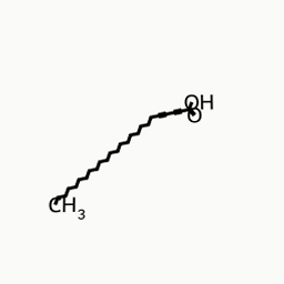 CCCCCCCCCCCCCCCCCCCCC#CC#CC(=O)O